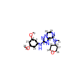 COc1cc(Nc2nc3c(N(C)C4CCOCC4)nccn3n2)cc(OC)c1